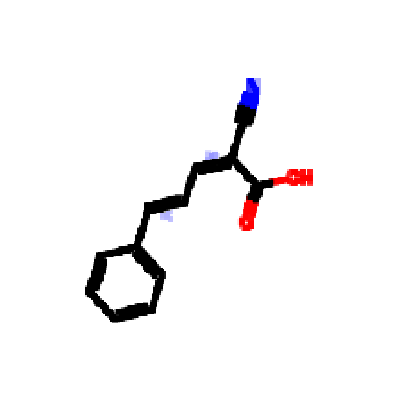 N#C/C(=C/C=C/c1ccccc1)C(=O)O